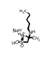 CCCCCNC(C)(C)CS(=O)(=O)O.[NaH]